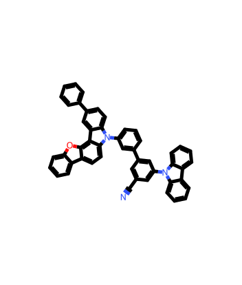 N#Cc1cc(-c2cccc(-n3c4ccc(-c5ccccc5)cc4c4c5oc6ccccc6c5ccc43)c2)cc(-n2c3ccccc3c3ccccc32)c1